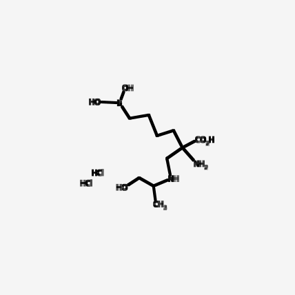 CC(CO)NCC(N)(CCCCB(O)O)C(=O)O.Cl.Cl